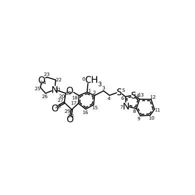 Cc1c(CCSc2nc3ccccc3s2)ccc2c1OC(N1CCOCC1)C(=O)C2=O